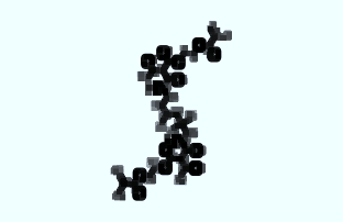 C=C(C)C(=O)OCCOC(=O)C(C(C)=O)C(=O)NCCC(C)CC(C)(C)CNC(=O)C(C(C)=O)C(=O)OCCOC(=O)C(=C)C